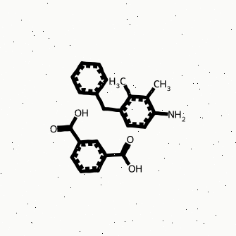 Cc1c(N)ccc(Cc2ccccc2)c1C.O=C(O)c1cccc(C(=O)O)c1